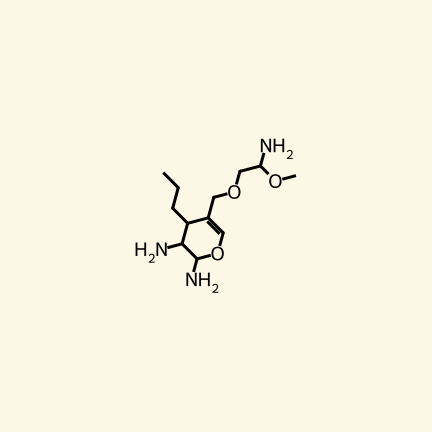 CCCC1C(COCC(N)OC)=COC(N)C1N